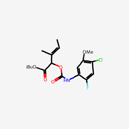 CC=C(C)C(OC(=O)Nc1cc(OC)c(Cl)cc1F)C(=O)OCC(C)C